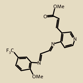 COC(=O)/C=C/c1cnccc1N=CC=Nc1cc(C(F)(F)F)ccc1OC